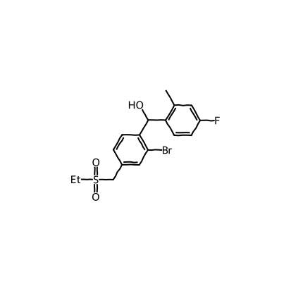 CCS(=O)(=O)Cc1ccc(C(O)c2ccc(F)cc2C)c(Br)c1